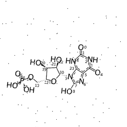 O=c1[nH]c(=O)c2nc(O)n([C@@H]3O[C@H](COP(=O)(O)O)[C@@H](O)[C@H]3O)c2[nH]1